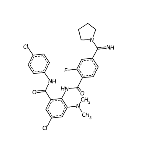 CN(C)c1cc(Cl)cc(C(=O)Nc2ccc(Cl)cc2)c1NC(=O)c1ccc(C(=N)N2CCCC2)cc1F